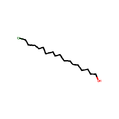 OCCCCCCCCCCCCCCCCCCl